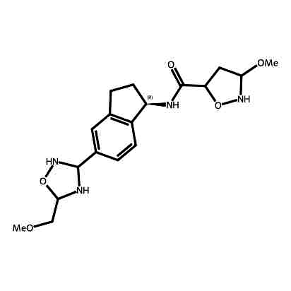 COCC1NC(c2ccc3c(c2)CC[C@H]3NC(=O)C2CC(OC)NO2)NO1